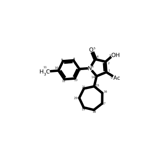 CC(=O)C1=C(O)C(=O)N(c2ccc(C)cc2)C1C1CCCCCC1